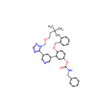 C[Si](C)(C)CCOCn1ncnc1-c1cncc(-c2cc(OC(=O)NCc3ccccc3)ccc2OCc2ccccc2)c1